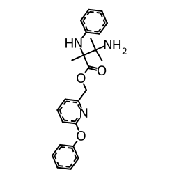 CC(C)(N)C(C)(Nc1ccccc1)C(=O)OCc1cccc(Oc2ccccc2)n1